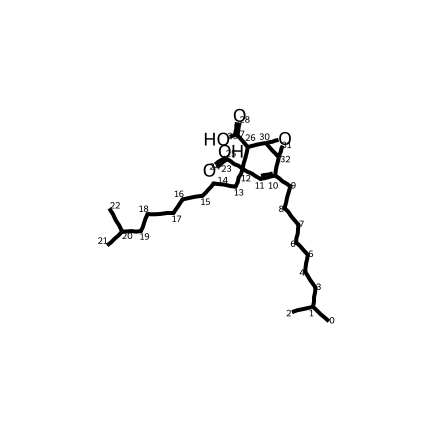 CC(C)CCCCCCCC1=CC(CCCCCCCC(C)C)(C(=O)O)C(C(=O)O)C2OC12